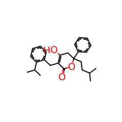 CC(C)CCC1(c2ccccc2)CC(O)=C(Cc2ccccc2C(C)C)C(=O)O1